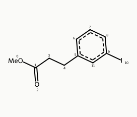 COC(=O)CCc1cccc(I)c1